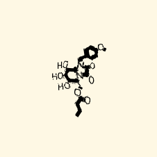 CCCC(=O)OC[C@@H]1[C@@H](O)[C@H](O)[C@H](O)C2N(Cc3ccc(OC)cc3)C(=O)C(=O)N21